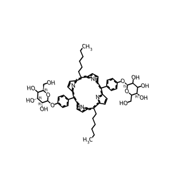 CCCCCCc1c2nc(c(-c3ccc(O[C@@H]4OC(CO)[C@H](O)C(O)C4O)cc3)c3ccc([nH]3)c(CCCCCC)c3nc(c(-c4ccc(OC5O[C@H](CO)C(O)[C@@H](O)[C@H]5O)cc4)c4ccc1[nH]4)C=C3)C=C2